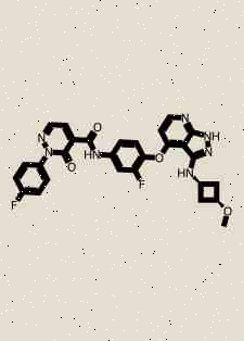 CO[C@H]1C[C@@H](Nc2n[nH]c3nccc(Oc4ccc(NC(=O)c5ccnn(-c6ccc(F)cc6)c5=O)cc4F)c23)C1